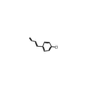 C=CC=Cc1ccc(Cl)cc1